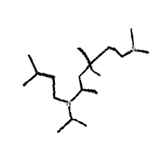 CC(C)CCN(C(C)C)C(C)CC(C)(C)CCN(C)C